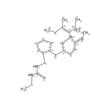 CCNC(=O)NCc1ccccc1Sc1cc/c(=N/C)n(/C(=C(/C)CC)C(C)C)c1